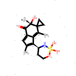 CC1=C([C@@H]2CCOS(O)(O)N2)C2=C(C)C3(CC3)[C@@](C)(O)C(=O)C2=C1